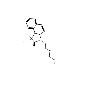 C=C1N(CCCCCC(=O)O)C2C=Cc3ccccc3C2C1(C)C